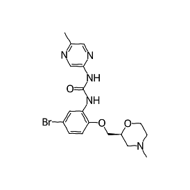 Cc1cnc(NC(=O)Nc2cc(Br)ccc2OC[C@@H]2CN(C)CCO2)cn1